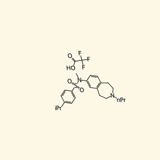 CCCN1CCc2ccc(N(C)S(=O)(=O)c3ccc(C(C)C)cc3)cc2CC1.O=C(O)C(F)(F)F